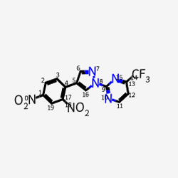 O=[N+]([O-])c1ccc(-c2cnn(-c3nccc(C(F)(F)F)n3)c2)c([N+](=O)[O-])c1